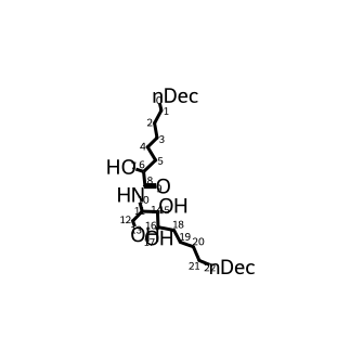 CCCCCCCCCCCCCCCC(O)C(=O)NC(CO)C(O)C(O)CCCCCCCCCCCCCC